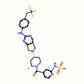 C[C@@H]1C[C@H](N2Cc3cnc(Nc4ccc(CC(F)(F)F)cc4)nc3C2)CCN1C(=O)c1ccnc(NS(C)(=O)=O)c1